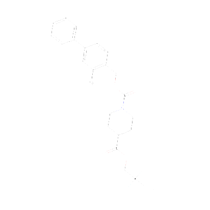 O=C(OCC(F)(F)S(=O)(=O)O)C1CCN(C(=O)OCc2ccc(-c3ccccc3)cc2[N+](=O)[O-])CC1